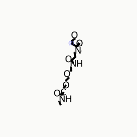 CCNC(=O)CCOCCOCCNC(=O)CCN(C)C(=O)/C=C\C=O